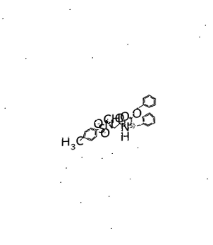 Cc1ccc(S(=O)(=O)N(C)CC(=O)N[C@@H](Cc2ccccc2)C(=O)OCc2ccccc2)cc1